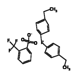 CCc1ccc([I+]c2ccc(CC)cc2)cc1.O=S(=O)([O-])c1ccccc1C(F)(F)F